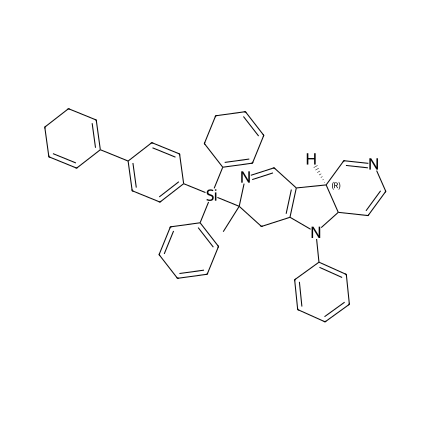 CC1([Si](C2=CC=CCC2)(c2ccccc2)c2ccc(C3=CCCC=C3)cc2)CC2=C(C=N1)[C@H]1C=NC=CC1N2c1ccccc1